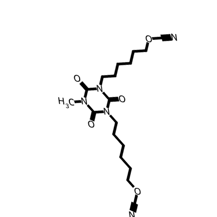 Cn1c(=O)n(CCCCCCOC#N)c(=O)n(CCCCCCOC#N)c1=O